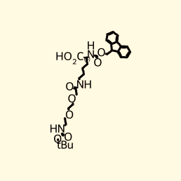 CC(C)(C)OC(=O)NCCOCCOCC(=O)NCCCC[C@H](NC(=O)OCC1c2ccccc2-c2ccccc21)C(=O)O